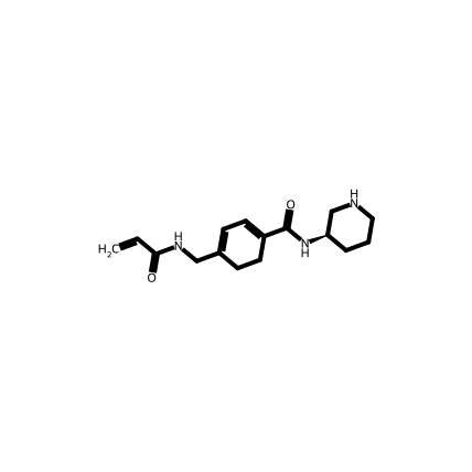 C=CC(=O)NCC1=CC=C(C(=O)N[C@@H]2CCCNC2)CC1